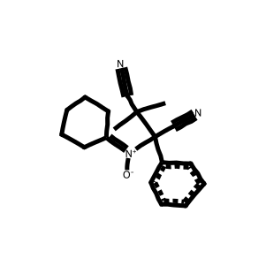 CC(C)(C#N)C(C#N)(c1ccccc1)[N+]([O-])=C1CCCCC1